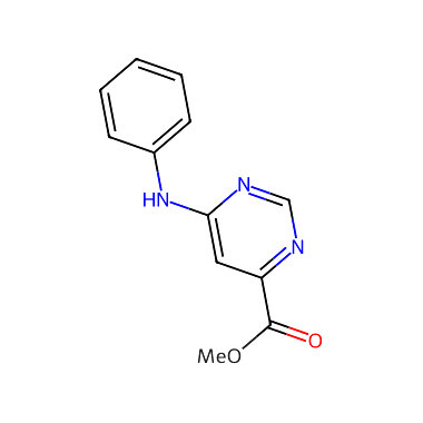 COC(=O)c1cc(Nc2ccccc2)ncn1